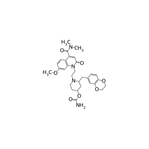 COc1ccc2c(C(=O)N(C)C)cc(=O)n(CCN3CCC(OC(N)=O)CC3Cc3ccc4c(c3)OCCO4)c2c1